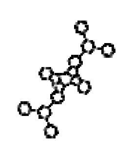 c1ccc(-c2cc(-c3ccccc3)cc(-c3ccc4c5c6c7ccccc7n7c8cc(-c9cc(-c%10ccccc%10)cc(-c%10ccccc%10)c9)ccc8c(c8c9ccccc9n(c4c3)c85)c67)c2)cc1